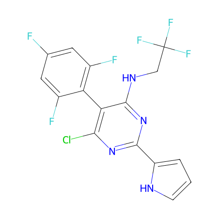 Fc1cc(F)c(-c2c(Cl)nc(-c3ccc[nH]3)nc2NCC(F)(F)F)c(F)c1